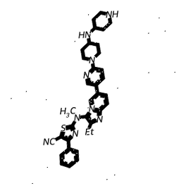 CCc1nc2ccc(-c3ccc(N4CCC(NC5CCNCC5)CC4)nc3)cn2c1N(C)c1nc(-c2ccccc2)c(C#N)s1